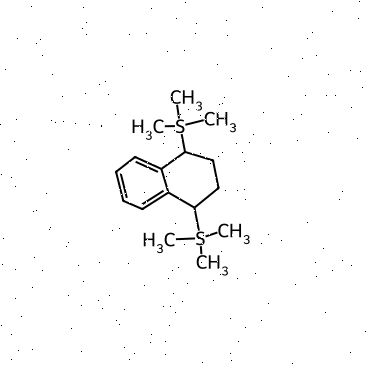 CS(C)(C)C1CCC(S(C)(C)C)c2ccccc21